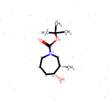 C[C@H]1CN(C(=O)OC(C)(C)C)CCC[C@H]1O